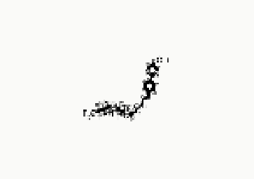 CCCCCCCCc1cnc(-c2ccc(CCCOCC(F)(F)OC(F)(F)C(F)(F)OC(F)(F)C(F)(F)C(F)(F)C(F)(F)F)cc2)nc1